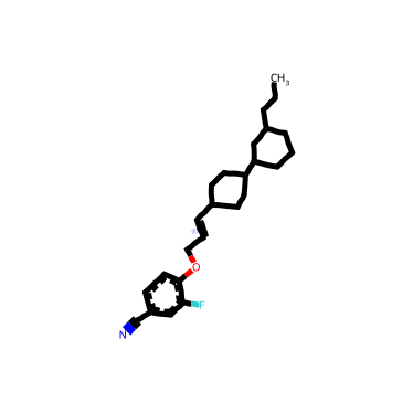 CCCC1CCCC(C2CCC(/C=C/COc3ccc(C#N)cc3F)CC2)C1